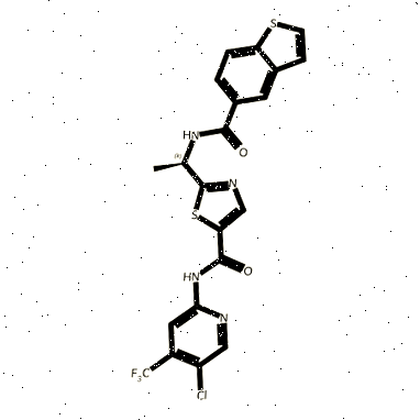 C[C@@H](NC(=O)c1ccc2sccc2c1)c1ncc(C(=O)Nc2cc(C(F)(F)F)c(Cl)cn2)s1